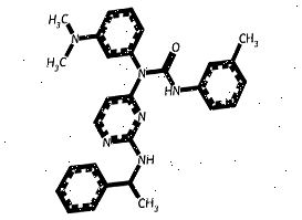 Cc1cccc(NC(=O)N(c2cccc(N(C)C)c2)c2ccnc(NC(C)c3ccccc3)n2)c1